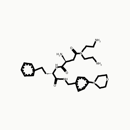 NCCN(CCN)C(=O)C[C@H](N)C(=O)N[C@@H](CCc1ccccc1)C(=O)NCc1ccc(N2CCOCC2)cc1